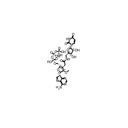 CO[C@@H]1[C@H](CC(=O)NC[C@H]2O[C@@H](n3ccc(=O)[nH]c3=O)[C@H](O)[C@@H]2O)[C@@H](COP(=O)(O)OP(=O)(O)OP(=O)(O)O)O[C@H]1n1cnc2c(N)ncnc21